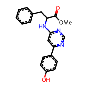 COC(=O)C(Cc1ccccc1)Nc1cc(-c2ccc(O)cc2)ncn1